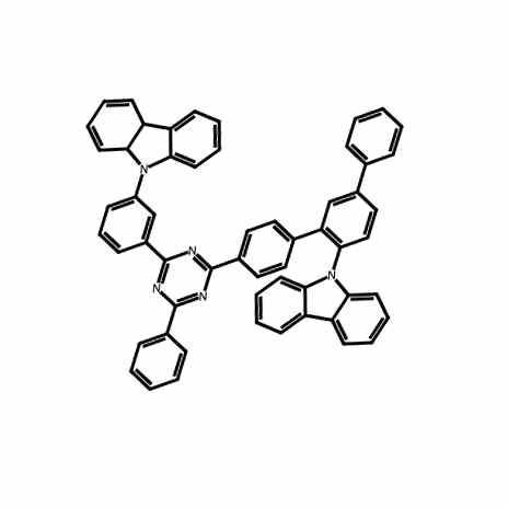 C1=CC2c3ccccc3N(c3cccc(-c4nc(-c5ccccc5)nc(-c5ccc(-c6cc(-c7ccccc7)ccc6-n6c7ccccc7c7ccccc76)cc5)n4)c3)C2C=C1